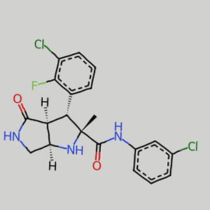 C[C@@]1(C(=O)Nc2cccc(Cl)c2)N[C@H]2CNC(=O)[C@H]2[C@@H]1c1cccc(Cl)c1F